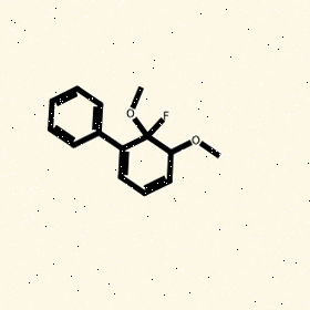 COC1C=CC=C(c2ccccc2)C1(F)OC